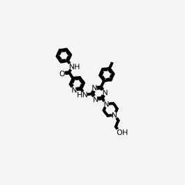 Cc1ccc(-c2nc(Nc3ccc(C(=O)Nc4ccccc4)cn3)nc(N3CCN(CCO)CC3)n2)cc1